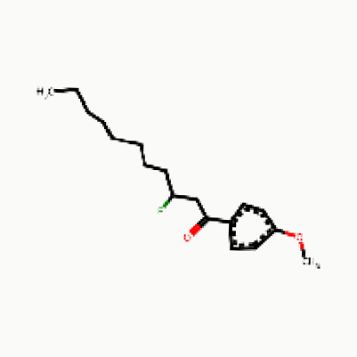 CCCCCCCCC(F)CC(=O)c1ccc(OC)cc1